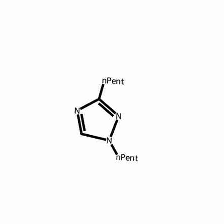 CCCCCc1ncn(CCCCC)n1